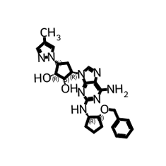 Cc1cnn([C@H]2C[C@@H](n3cnc4c(N)nc(N[C@@H]5CCC[C@H]5OCc5ccccc5)nc43)[C@H](O)[C@@H]2O)c1